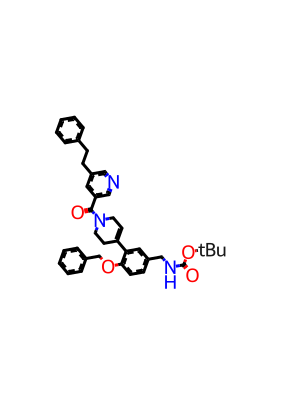 CC(C)(C)OC(=O)NCc1ccc(OCc2ccccc2)c(C2=CCN(C(=O)c3cncc(CCc4ccccc4)c3)CC2)c1